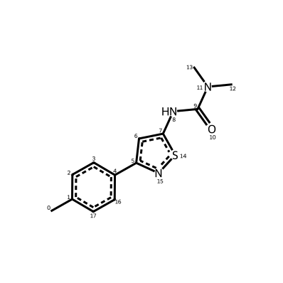 Cc1ccc(-c2cc(NC(=O)N(C)C)sn2)cc1